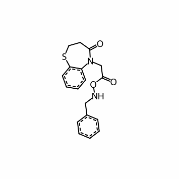 O=C(CN1C(=O)CCSc2ccccc21)ONCc1ccccc1